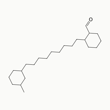 CC1CCCC(CCCCCCCCCC2CCCCC2C=O)C1